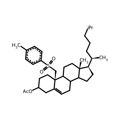 CC(=O)OC1CC[C@@]2(CS(=O)(=O)c3ccc(C)cc3)C(=CCC3C2CC[C@@]2(C)C3CC[C@@H]2[C@H](C)CCCC(C)C)C1